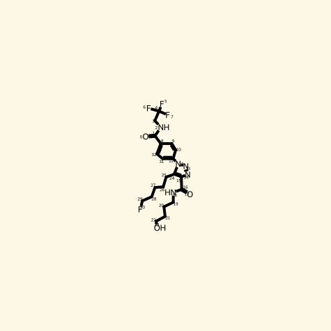 O=C(NCC(F)(F)F)c1ccc(-n2nnc(C(=O)NCCCCO)c2CCCCCF)cc1